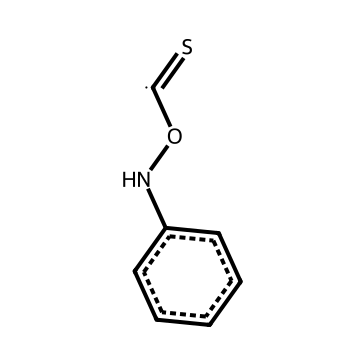 S=[C]ONc1ccccc1